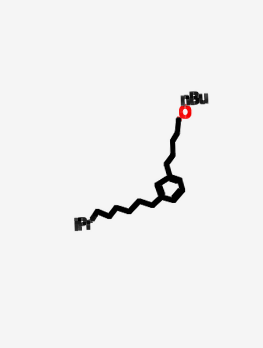 CCCCOCCCCCc1cccc(CCCCCCC(C)C)c1